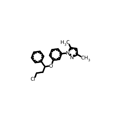 Cc1cc(C)n(-c2cccc(OC(CCCl)c3ccccc3)c2)n1